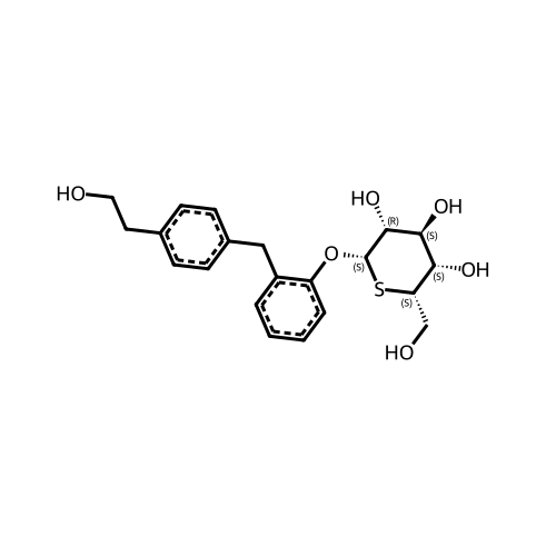 OCCc1ccc(Cc2ccccc2O[C@H]2S[C@@H](CO)[C@@H](O)[C@H](O)[C@H]2O)cc1